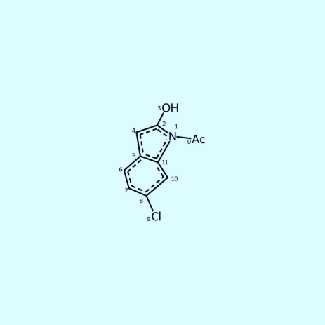 CC(=O)n1c(O)cc2ccc(Cl)cc21